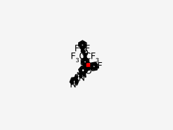 O=S(=O)(c1ccc(F)cc1)C1(c2ccc(C(OCc3c(F)cccc3F)(C(F)(F)F)C(F)(F)F)cc2)CCc2c(cnn2Cc2ccncc2)C1